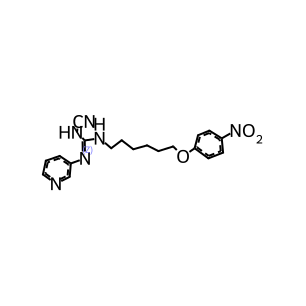 N#CN/C(=N\c1cccnc1)NCCCCCCOc1ccc([N+](=O)[O-])cc1